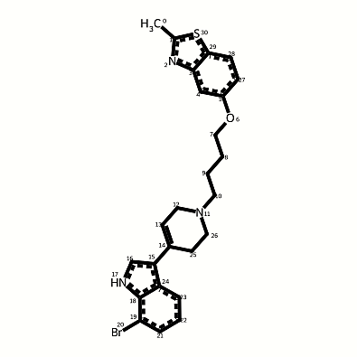 Cc1nc2cc(OCCCCN3CC=C(c4c[nH]c5c(Br)cccc45)CC3)ccc2s1